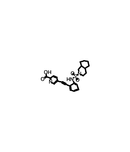 O=C(O)c1ccc(C#Cc2ccccc2NS(=O)(=O)N2CCC3CCCCC3C2)cn1